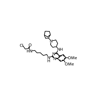 COc1cc2nc(NCCCCCNC(=O)CCl)nc(NC3CCN(C4CC5CCC4C5)CC3)c2cc1OC